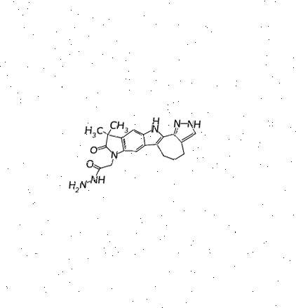 CC1(C)C(=O)N(CC(=O)NN)c2cc3c4c([nH]c3cc21)-c1n[nH]cc1CCC4